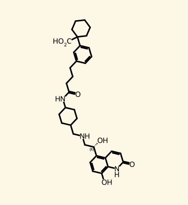 O=C(CCCc1cccc(C2(C(=O)O)CCCCC2)c1)NC1CCC(CNC[C@H](O)c2ccc(O)c3[nH]c(=O)ccc23)CC1